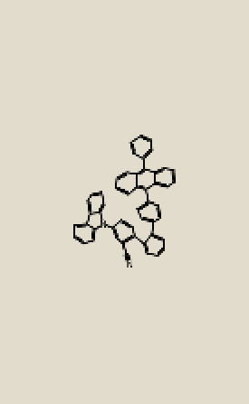 N#Cc1cc(-n2c3ccccc3c3ccccc32)ccc1-c1ccccc1-c1ccc(-c2c3ccccc3c(-c3ccccc3)c3ccccc23)cc1